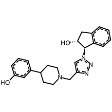 Oc1cccc(C2CCN(Cc3cn([C@@H]4c5ccccc5C[C@H]4O)nn3)CC2)c1